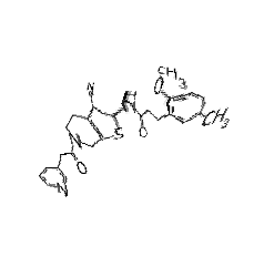 COc1ccc(C)cc1CCC(=O)NC1SC2=C(CCN(C(=O)Cc3cccnc3)C2)C1C#N